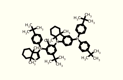 CC(C)(C)c1ccc(N(C2=CSC3(C)CCCCC23C)c2cc(C(C)(C)C)cc(N3c4ccc(N(c5ccc(C(C)(C)C)cc5)c5ccc(C(C)(C)C)cc5)cc4C4(C)CCCCC34C)c2Cl)cc1